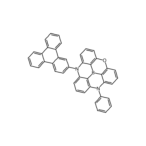 c1ccc(N2c3cccc4c3B3c5c(cccc5N(c5ccc6c7ccccc7c7ccccc7c6c5)c5cccc2c53)O4)cc1